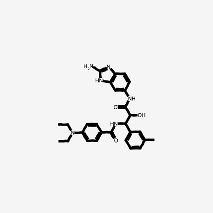 CCN(CC)c1ccc(C(=O)NC(c2cccc(C)c2)C(O)C(=O)Nc2ccc3nc(N)[nH]c3c2)cc1